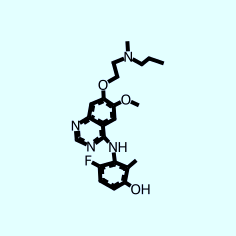 CCCN(C)CCOc1cc2ncnc(Nc3c(F)ccc(O)c3C)c2cc1OC